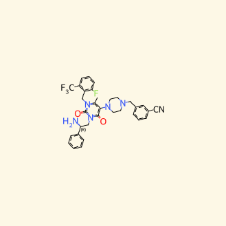 Cc1c(N2CCN(Cc3cccc(C#N)c3)CC2)c(=O)n(C[C@H](N)c2ccccc2)c(=O)n1Cc1c(F)cccc1C(F)(F)F